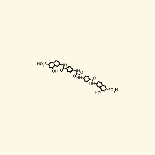 O=C(Nc1ccc(C(=O)Nc2ccc3cc(S(=O)(=O)O)cc(O)c3c2)cc1)C(=O)Nc1ccc(C(=O)Nc2ccc3cc(S(=O)(=O)O)cc(O)c3c2)cc1